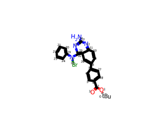 CC(C)(C)OC(=O)c1ccc(-c2ccc3nc(N)nc(N(Br)c4ccccc4)c3c2)cc1